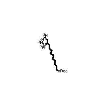 [2H]N([2H])CC(CCCCCCCCCCCCCCCCCCCC)N([2H])[2H]